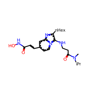 CCCCCCc1nc2cc(C=CC(=O)NO)ccn2c1NCCC(=O)N(C)C(C)C